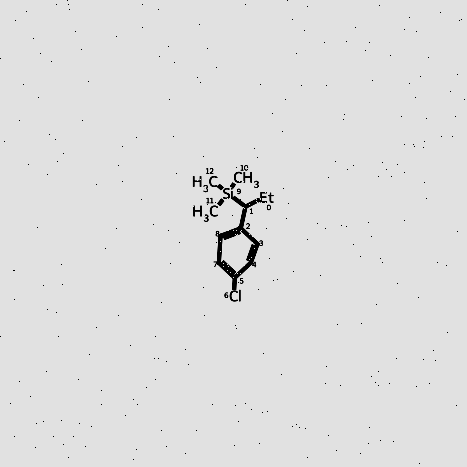 CCC(c1ccc(Cl)cc1)[Si](C)(C)C